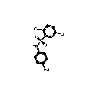 O=S(=O)(Nc1ccc(O)cc1)c1cc(Cl)ccc1Cl